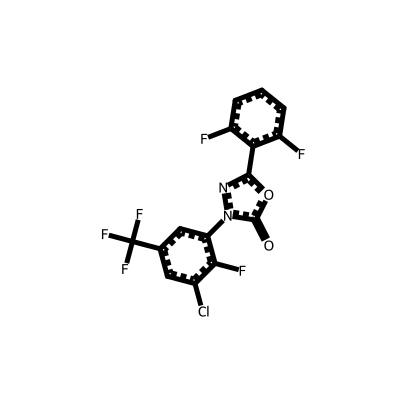 O=c1oc(-c2c(F)cccc2F)nn1-c1cc(C(F)(F)F)cc(Cl)c1F